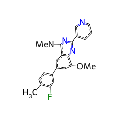 CNc1nc(-c2cccnc2)nc2c(OC)cc(-c3ccc(C)c(F)c3)cc12